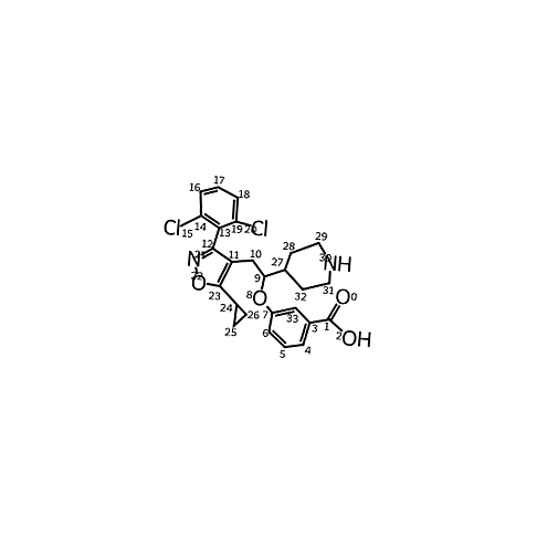 O=C(O)c1cccc(OC(Cc2c(-c3c(Cl)cccc3Cl)noc2C2CC2)C2CCNCC2)c1